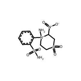 N[N+]1(c2ccccc2S(N)(=O)=O)CCS(=O)(=O)CC1[N+](=O)[O-]